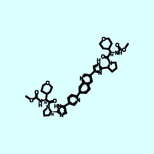 COC(=O)N[C@H](C(=O)N1CCCC1c1nc(-c2cnc3cc(-c4ccc(-c5cnc([C@@H]6CCCN6C(=O)[C@@H](NC(=O)OC)C6CCOCC6)[nH]5)cn4)ccc3c2)c[nH]1)C1CCOCC1